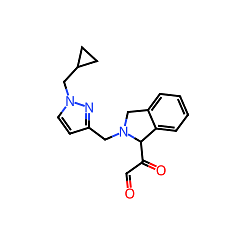 O=CC(=O)C1c2ccccc2CN1Cc1ccn(CC2CC2)n1